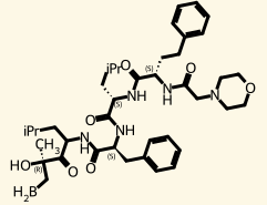 BC[C@@](C)(O)C(=O)C(CC(C)C)NC(=O)[C@H](Cc1ccccc1)NC(=O)[C@H](CC(C)C)NC(=O)[C@H](CCc1ccccc1)NC(=O)CN1CCOCC1